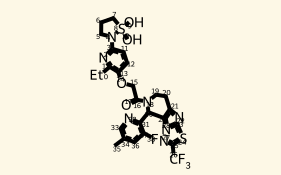 CCc1nc(N2CCCS2(O)O)ccc1OCC(=O)N1CCc2nc3sc(C(F)(F)F)nn3c2C1c1ncc(C)cc1F